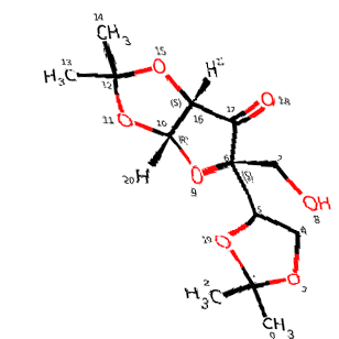 CC1(C)OCC([C@]2(CO)O[C@@H]3OC(C)(C)O[C@@H]3C2=O)O1